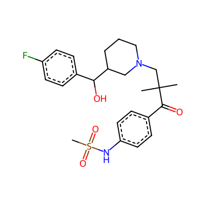 CC(C)(CN1CCCC(C(O)c2ccc(F)cc2)C1)C(=O)c1ccc(NS(C)(=O)=O)cc1